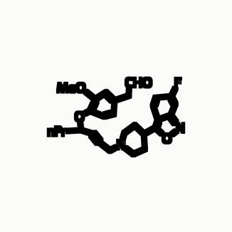 CCCC(C#CCN1CCC(c2onc3cc(F)ccc23)CC1)Oc1ccc(CC=O)cc1OC